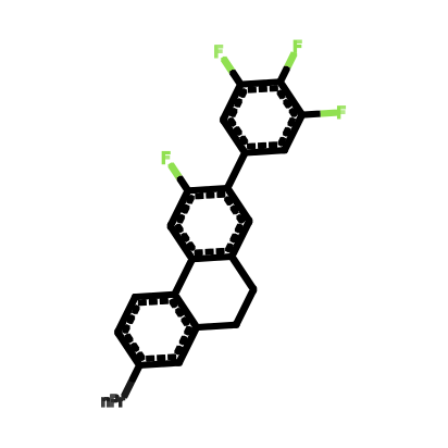 CCCc1ccc2c(c1)CCc1cc(-c3cc(F)c(F)c(F)c3)c(F)cc1-2